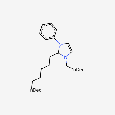 CCCCCCCCCCCCCCCC1N(CCCCCCCCCCC)C=CN1c1ccccc1